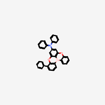 c1ccc(-c2cccc3c2Oc2cc(N(c4ccccc4)c4ccccc4)cc4c2B3c2ccccc2O4)cc1